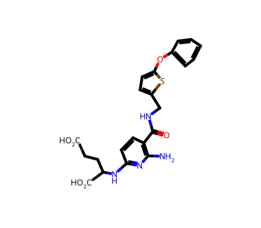 Nc1nc(NC(CCC(=O)O)C(=O)O)ccc1C(=O)NCc1ccc(Oc2ccccc2)s1